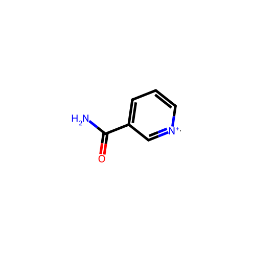 NC(=O)C1=CC=C[N+]=C1